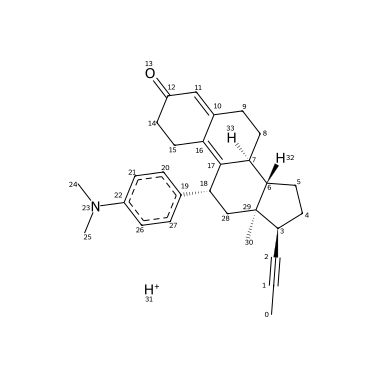 CC#C[C@@H]1CC[C@H]2[C@@H]3CCC4=CC(=O)CCC4=C3[C@@H](c3ccc(N(C)C)cc3)C[C@]12C.[H+]